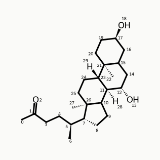 CC(=O)CC[C@H](C)[C@H]1CCC2[C@@H]3[C@@H](O)CC4C[C@H](O)CC[C@]4(C)[C@H]3CC[C@@]21C